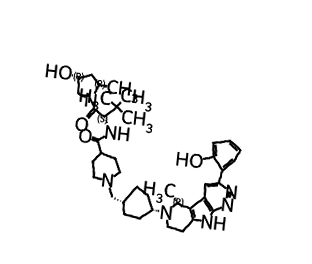 C[C@@H]1C[C@@H](O)CN1C(=O)[C@@H](NC(=O)C1CCN(C[C@H]2CC[C@@H](N3CCc4[nH]c5nnc(-c6ccccc6O)cc5c4[C@H]3C)CC2)CC1)C(C)(C)C